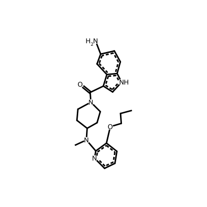 CCCOc1cccnc1N(C)C1CCN(C(=O)c2c[nH]c3ccc(N)cc23)CC1